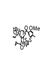 C=CC(=O)N1CCCN(C(=O)c2cc(Sc3cnc(NC(=O)C4CC4)s3)c(C)cc2OC)CC1C(C)(C)C